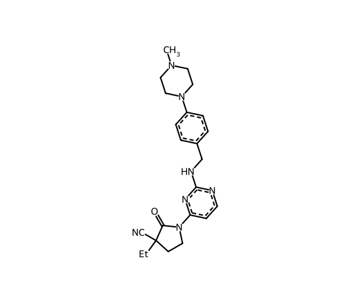 CCC1(C#N)CCN(c2ccnc(NCc3ccc(N4CCN(C)CC4)cc3)n2)C1=O